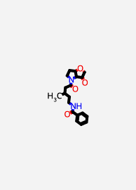 CC(CCNC(=O)c1ccccc1)CC(=O)N1CCC2OCC(=O)C21